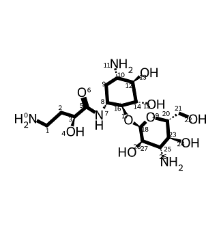 NCC[C@H](O)C(=O)N[C@@H]1C[C@H](N)[C@@H](O)[C@H](O)[C@H]1O[C@H]1O[C@H](CO)[C@@H](O)[C@H](N)[C@H]1O